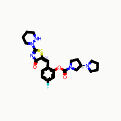 O=C1N=C(N2CCCCN2)S/C1=C/c1ccc(F)cc1OC(=O)N1CC[C@H](N2CCCC2)C1